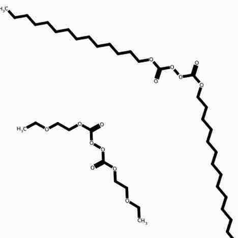 CCCCCCCCCCCCCCOC(=O)OOC(=O)OCCCCCCCCCCCCCC.CCOCCOC(=O)OOC(=O)OCCOCC